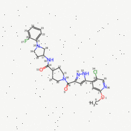 COc1cc(-c2cc(C(=O)N3CCC(C(=O)NC4CCN(c5ccccc5F)C4)CC3)n[nH]2)c(Cl)cn1